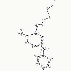 CCCCCCOc1cc(Nc2ccccc2)ccc1N